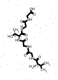 CC(C)[C@H](N)C(=O)NCC(=O)NCC(=O)N[C@H](C(=O)NCC(=O)NCC(=O)O)[C@@H](C)O